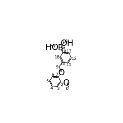 COc1ccccc1OCc1cccc(B(O)O)c1